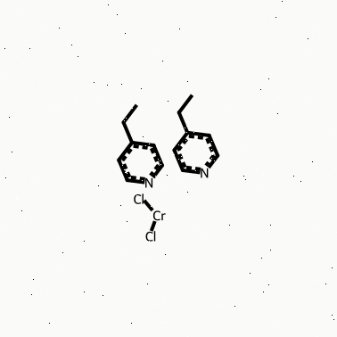 CCc1ccncc1.CCc1ccncc1.[Cl][Cr][Cl]